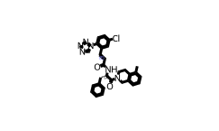 Cc1cccc2c1CCN(C(=O)[C@H](Cc1ccccc1)NC(=O)/C=C/c1cc(Cl)ccc1-n1cnnn1)C2